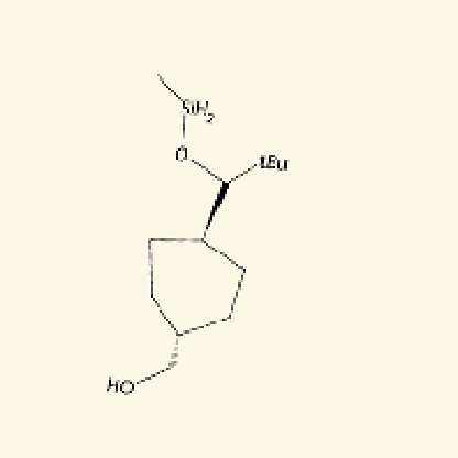 C[SiH2]OC([C@H]1CC[C@H](CO)CC1)C(C)(C)C